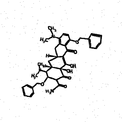 CN(C)c1ccc(OCc2ccccc2)c2c1C[C@H]1C[C@H]3C(N(C)C)C(OCc4ccccc4)C(C(N)=O)C(=O)[C@@]3(O)C(O)=C1C2=O